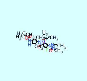 CCC[C@H](C)Oc1cc(-n2nc(CC)n(C)c2=O)c(F)cc1C(=O)Nc1c(C)cc(NC(=O)OC(C)(C)C)cc1C